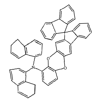 C1=Cc2c(cccc2N(c2cccc3c2CCC=C3)c2cccc3c2Oc2cc4c(cc2O3)-c2ccccc2C42c3ccccc3-c3ccccc32)CC1